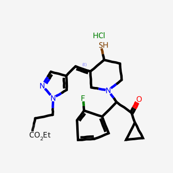 CCOC(=O)CCn1cc(/C=C2\CN(C(C(=O)C3CC3)c3ccccc3F)CCC2S)cn1.Cl